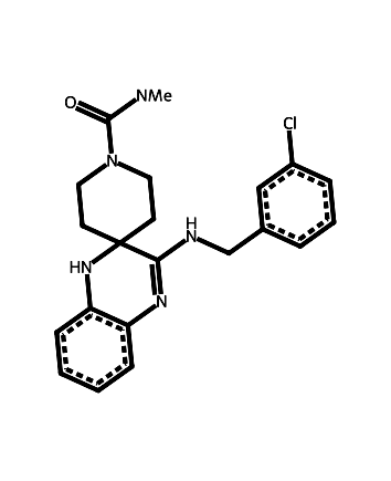 CNC(=O)N1CCC2(CC1)Nc1ccccc1N=C2NCc1cccc(Cl)c1